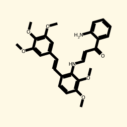 COc1cc(C=Cc2ccc(OC)c(OC)c2NC=CC(=O)c2ccccc2N)cc(OC)c1OC